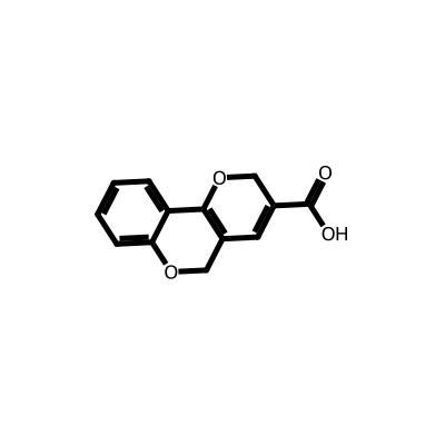 O=C(O)C1=CC2=C(OC1)c1ccccc1OC2